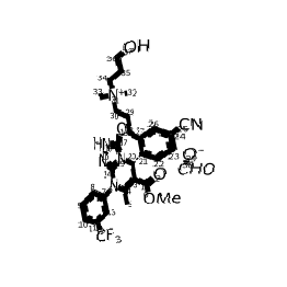 COC(=O)C1=C(C)N(c2cccc(C(F)(F)F)c2)c2n[nH]c(=O)n2[C@@H]1c1ccc(C#N)cc1CCC[N+](C)(C)CCCO.O=C[O-]